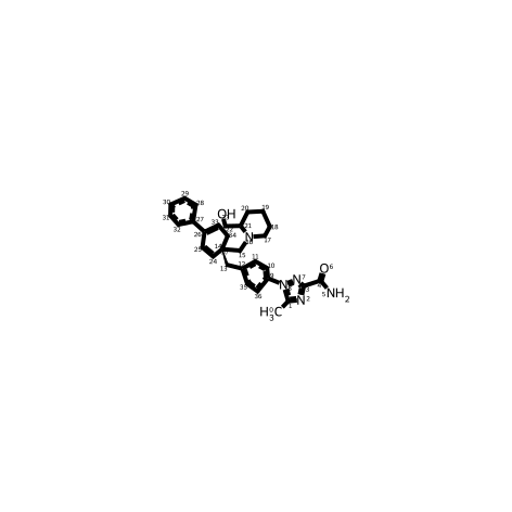 Cc1nc(C(N)=O)nn1-c1ccc(C[C@@]2(CN3CCCCC3CO)C=CC(c3ccccc3)=CC2)cc1